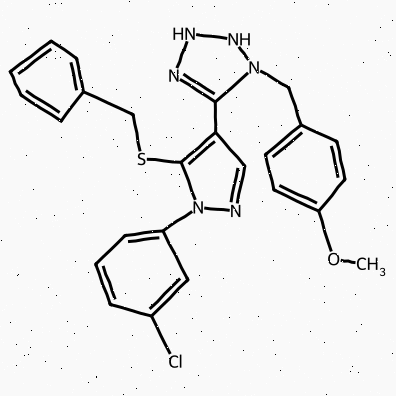 COc1ccc(CN2NNN=C2c2cnn(-c3cccc(Cl)c3)c2SCc2ccccc2)cc1